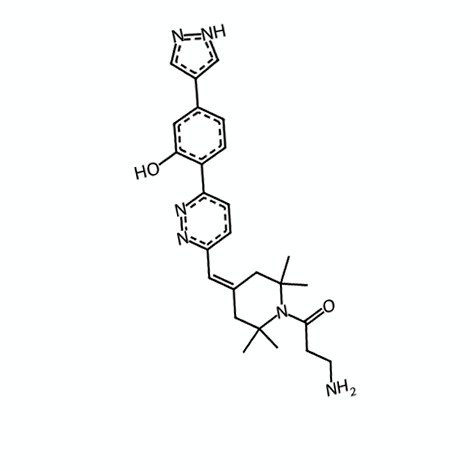 CC1(C)CC(=Cc2ccc(-c3ccc(-c4cn[nH]c4)cc3O)nn2)CC(C)(C)N1C(=O)CCN